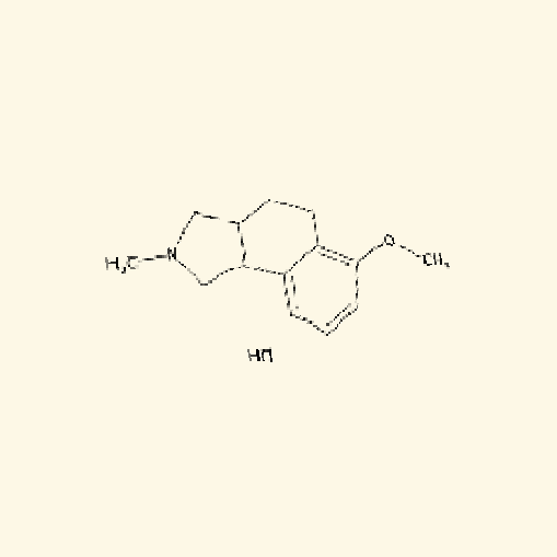 COc1cccc2c1CCC1CN(C)CC21.Cl